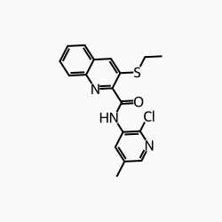 CCSc1cc2ccccc2nc1C(=O)Nc1cc(C)cnc1Cl